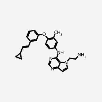 Cc1cc(Nc2ncnc3ccn(CCN)c23)ccc1Oc1cccc(/C=C/C2CC2)c1